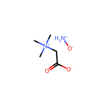 C[N+](C)(C)CC(=O)[O-].[NH3+][O-]